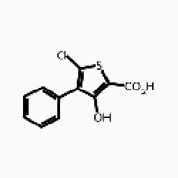 O=C(O)c1sc(Cl)c(-c2ccccc2)c1O